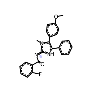 COc1ccc(-c2c(-c3ccccc3)[nH]/c(=N\C(=O)c3ccccc3F)n2C)cc1